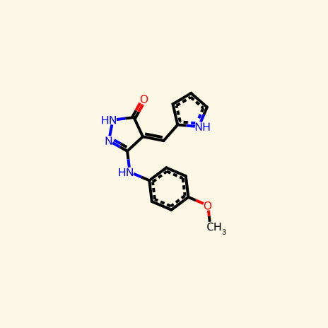 COc1ccc(NC2=NNC(=O)C2=Cc2ccc[nH]2)cc1